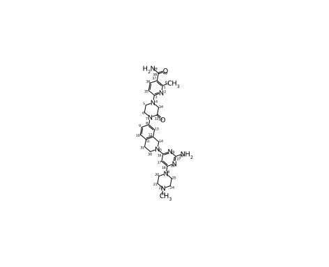 Cc1nc(N2CCN(c3ccc4c(c3)CN(c3cc(N5CCN(C)CC5)nc(N)n3)CC4)C(=O)C2)ccc1C(N)=O